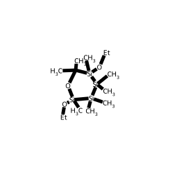 CCO[Si]1(C)OC(C)(C)[Si](C)(OCC)[Si](C)(C)[Si]1(C)C